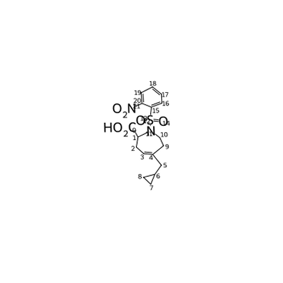 O=C(O)C1CC=C(CC2CC2)CCN1S(=O)(=O)c1ccccc1[N+](=O)[O-]